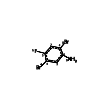 Nc1cc(Br)c(F)cc1Br